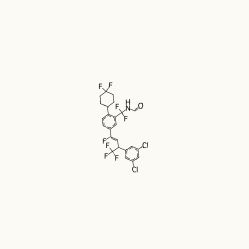 O=CNC(F)(F)c1cc(/C(F)=C/C(c2cc(Cl)cc(Cl)c2)C(F)(F)F)ccc1C1CCC(F)(F)CC1